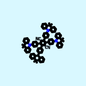 CC1(C)c2ccccc2C(c2ccc(-c3c(C#N)c(-c4ccc(N5c6ccccc6C(C)(C)c6ccccc65)cc4)c(-c4ccc(N5c6ccccc6C(C)(C)c6ccccc65)cc4)c(C#N)c3-c3ccc(N4c5ccccc5C(C)(C)c5ccccc54)cc3)cc2)c2ccccc21